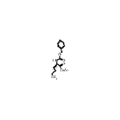 COC(=O)/C(=C\CCC(F)(F)F)NC(=O)OCc1ccccc1